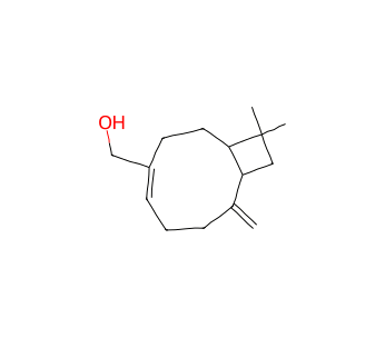 C=C1CCC=C(CO)CCC2C1CC2(C)C